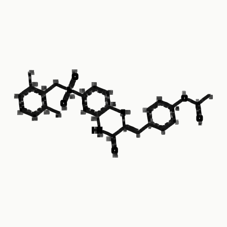 CC(=O)Oc1ccc(C=C2Sc3ccc(S(=O)(=O)Cc4c(C)cccc4C)cc3NC2=O)cc1